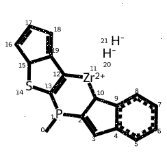 CP1C2=Cc3ccccc3[CH]2[Zr+2][C]2=C1SC1C=CC=C21.[H-].[H-]